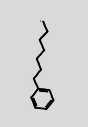 [CH]CCCCCCc1ccccc1